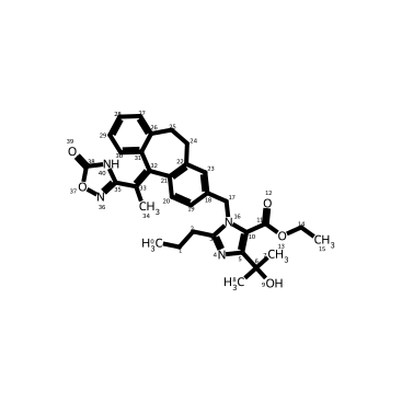 CCCc1nc(C(C)(C)O)c(C(=O)OCC)n1Cc1ccc2c(c1)CCc1ccccc1/C2=C(/C)c1noc(=O)[nH]1